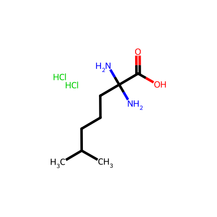 CC(C)CCCC(N)(N)C(=O)O.Cl.Cl